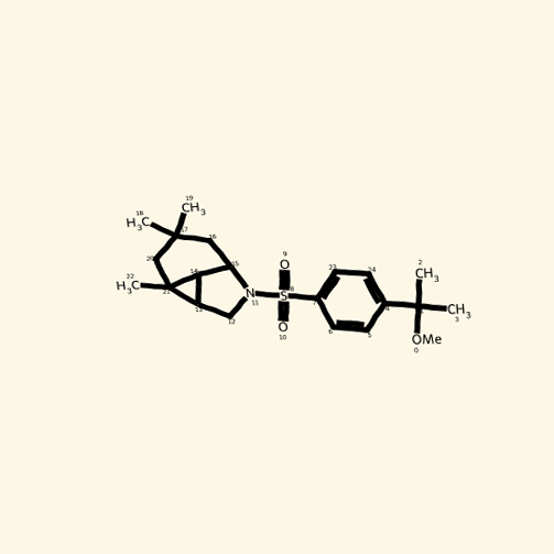 COC(C)(C)c1ccc(S(=O)(=O)N2CC3C4C2CC(C)(C)CC34C)cc1